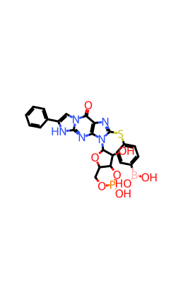 O=c1c2nc(Sc3ccc(B(O)O)cc3)n(C3OC4COP(O)OC4C3O)c2nc2[nH]c(-c3ccccc3)cn12